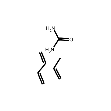 C=CC.C=CC=C.NC(N)=O